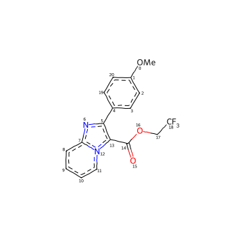 COc1ccc(-c2nc3ccccn3c2C(=O)OCC(F)(F)F)cc1